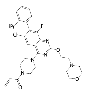 C=CC(=O)N1CCN(c2nc(OCCN3CCOCC3)nc3c(F)c(-c4ccccc4C(C)C)c(Cl)cc23)CC1